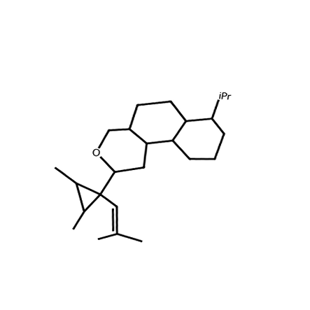 CC(C)=CC1(C2CC3C(CCC4C(C(C)C)CCCC34)CO2)C(C)C1C